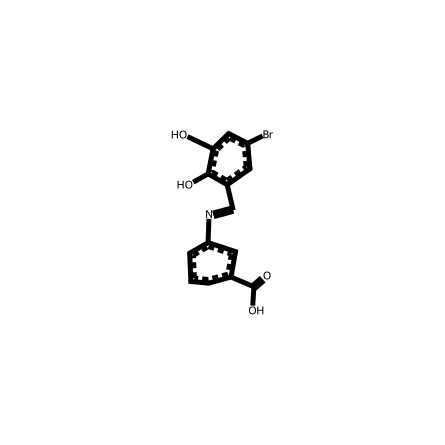 O=C(O)c1cccc(N=Cc2cc(Br)cc(O)c2O)c1